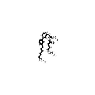 CCCCCCCc1cccc(N2C=C(CC(C)OC(=O)CCCC)N=CC2)c1